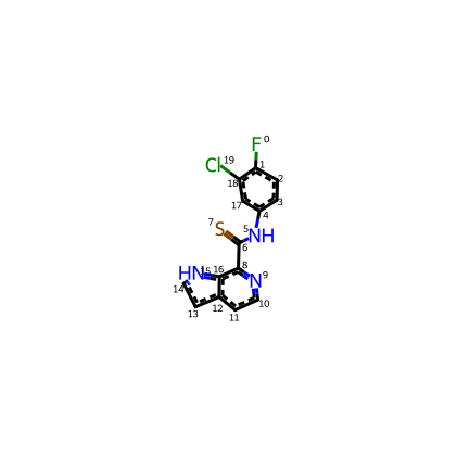 Fc1ccc(NC(=S)c2nccc3cc[nH]c23)cc1Cl